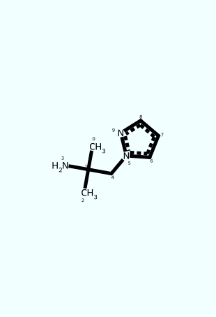 CC(C)(N)Cn1cc[c]n1